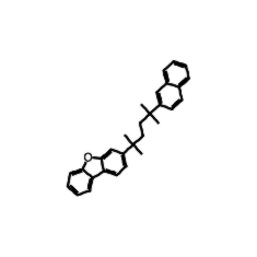 CC(C)(CCC(C)(C)c1ccc2c(c1)oc1ccccc12)c1ccc2ccccc2c1